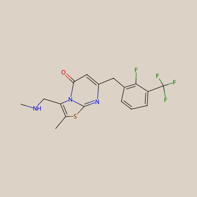 CNCc1c(C)sc2nc(Cc3cccc(C(F)(F)F)c3F)cc(=O)n12